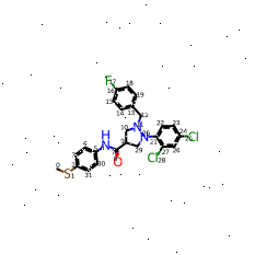 CSc1ccc(NC(=O)C2CN(Cc3ccc(F)cc3)N(c3ccc(Cl)cc3Cl)C2)cc1